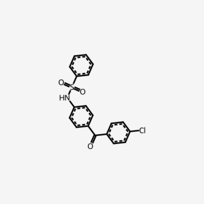 O=C(c1ccc(Cl)cc1)c1ccc(NS(=O)(=O)c2ccccc2)cc1